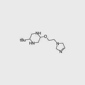 CC(C)(C)C1CNC(OCCN2CC=NC2)CN1